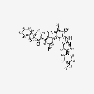 CCc1c(-c2cc(Nc3ccc(N4CCN(CC)CC4)cn3)c(=O)n(C)c2)cc(F)cc1N1CCc2c(sc3c2CCCC3)C1=O